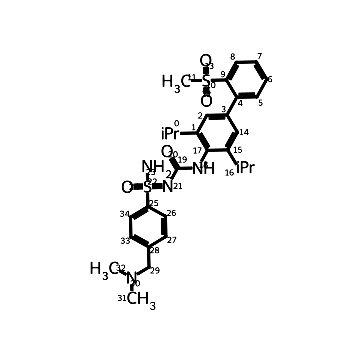 CC(C)c1cc(-c2ccccc2S(C)(=O)=O)cc(C(C)C)c1NC(=O)N=S(N)(=O)c1ccc(CN(C)C)cc1